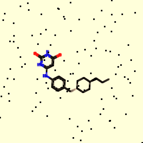 CCC[C@H]1CC[C@H](Cc2ccc(Nc3cc(=O)[nH]c(=O)[nH]3)cc2)CC1